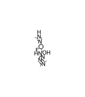 Cc1cn2cc(NC(O)c3ccc(N4CCNC(C)C4)cc3F)nc2c(C)n1